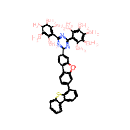 Bc1c(B)c(B)c(-c2nc(-c3ccc4c(c3)oc3cc(-c5cccc6c5sc5ccccc56)ccc34)nc(-c3c(B)c(B)c(B)c(B)c3B)n2)c(B)c1B